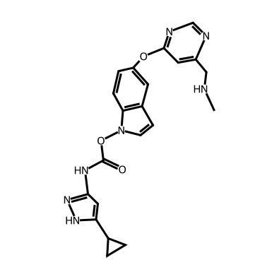 CNCc1cc(Oc2ccc3c(ccn3OC(=O)Nc3cc(C4CC4)[nH]n3)c2)ncn1